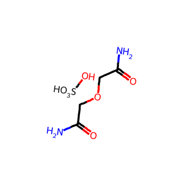 NC(=O)COCC(N)=O.O=S(=O)(O)O